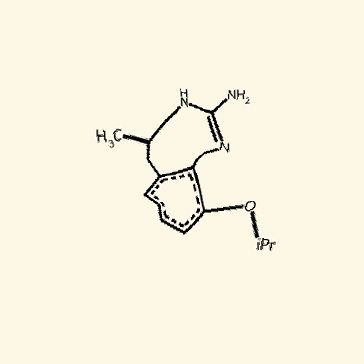 CC(C)Oc1cccc2c1N=C(N)NC2C